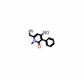 CC(C)Cc1cc(N=O)c(-c2ccccc2)c(=O)n1C